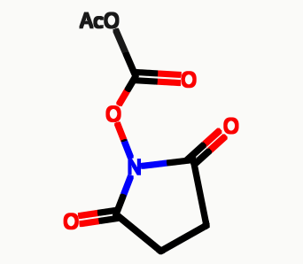 CC(=O)OC(=O)ON1C(=O)CCC1=O